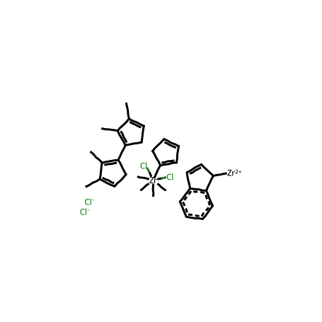 CC1=CCC(C2=C(C)C(C)=CC2)=C1C.[CH3][Zr]([CH3])([CH3])([CH3])([Cl])([Cl])[C]1=CC=CC1.[Cl-].[Cl-].[Zr+2][CH]1C=Cc2ccccc21